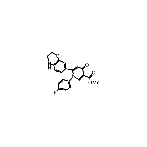 COC(=O)c1cn(-c2ccc(F)cc2)c(-c2ccc3c(c2)OCCN3)cc1=O